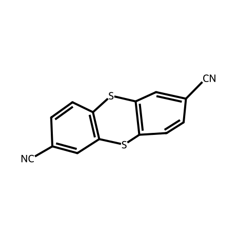 N#Cc1ccc2c(c1)Sc1ccc(C#N)cc1S2